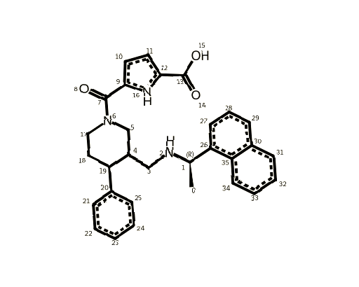 C[C@@H](NCC1CN(C(=O)c2ccc(C(=O)O)[nH]2)CCC1c1ccccc1)c1cccc2ccccc12